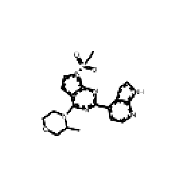 CC1COCCN1c1nc(-c2ccnc3[nH]ccc23)nc2c1ccn2S(C)(=O)=O